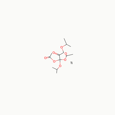 CC(=O)OC(OC(C)=O)(OC(C)C)C(=O)COC(C)C.[Ti]